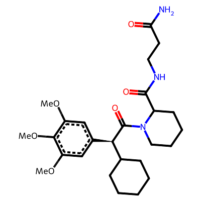 COc1cc([C@@H](C(=O)N2CCCCC2C(=O)NCCC(N)=O)C2CCCCC2)cc(OC)c1OC